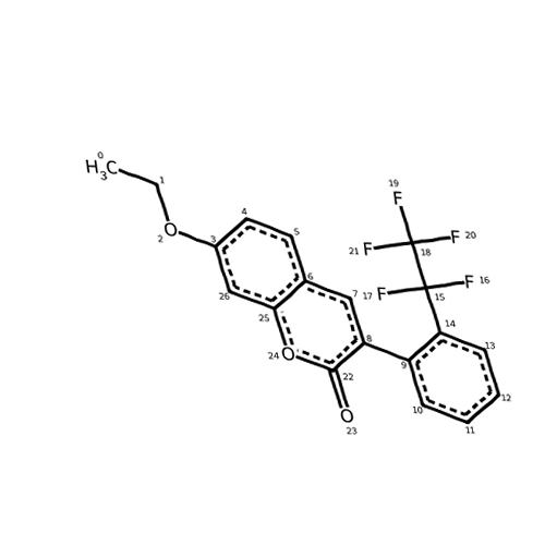 CCOc1ccc2cc(-c3ccccc3C(F)(F)C(F)(F)F)c(=O)oc2c1